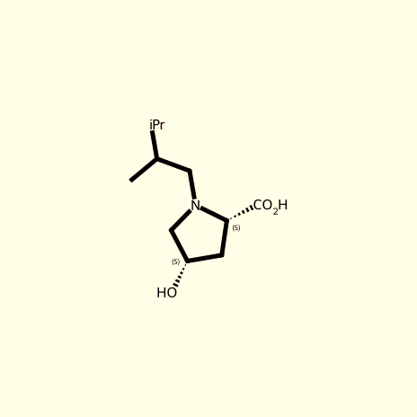 CC(C)C(C)CN1C[C@@H](O)C[C@H]1C(=O)O